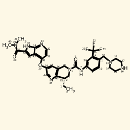 CC[C@H]1CN(C(=O)Nc2ccc(CN3CCNCC3)c(C(F)(F)F)c2)Cc2cc(Oc3ccnc4[nH]c(C(=O)N(C)C)cc34)cnc21